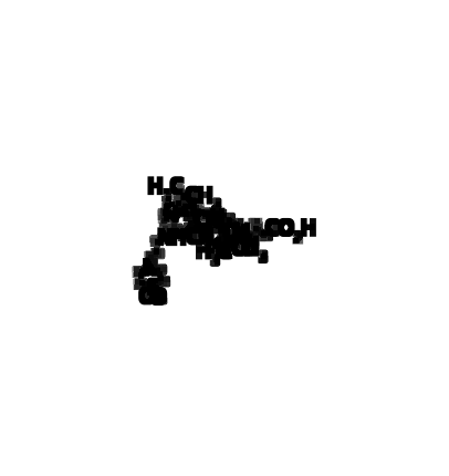 C=C(C)[C@@H]1CC[C@]2(CNCCCN3CCS(=O)(=O)CC3)CC[C@]3(C)[C@H](CC[C@@H]4[C@@]5(C)CCN(C(=O)/C=C/C(=O)O)C(C)(C)[C@@H]5CC[C@]43C)[C@@H]12